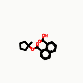 CC1(OC(=O)c2cccc3cccc(C(=O)O)c23)CCCC1